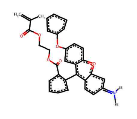 C=C(C)C(=O)OCCOC(=O)c1ccccc1-c1c2ccc(=[N+](CC)CC)cc-2oc2ccc(Oc3ccccc3)cc12